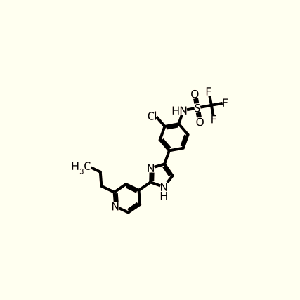 CCCc1cc(-c2nc(-c3ccc(NS(=O)(=O)C(F)(F)F)c(Cl)c3)c[nH]2)ccn1